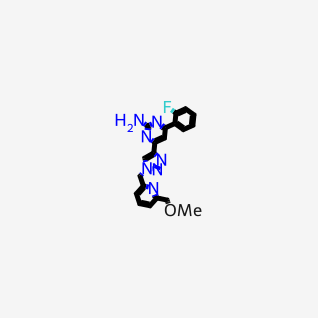 COCc1cccc(Cn2cc(-c3cc(-c4ccccc4F)nc(N)n3)nn2)n1